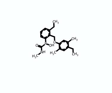 CCc1cc(C)c(OCc2c(CC)cccc2N(O)C(=O)NC)cc1C